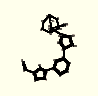 O=Cc1ccc(-c2cccc(-c3cn([C@H]4CN5CCC4CC5)nn3)c2)s1